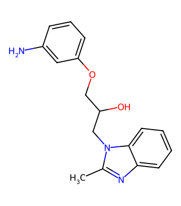 Cc1nc2ccccc2n1CC(O)COc1cccc(N)c1